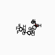 C[C@H]1CC2C[C@H](S(=O)(=O)c3cc(C(=O)Nc4cc(F)c(F)c(F)c4)ccc3Cl)CC1[C@@]2(O)Cn1cccn1